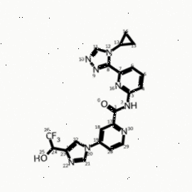 O=C(Nc1cccc(-c2nncn2C2CC2)n1)c1cc(-n2cnc(C(O)C(F)(F)F)c2)ccn1